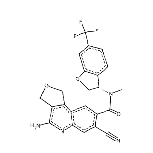 CN(C(=O)c1cc2c3c(c(N)nc2cc1C#N)COC3)[C@@H]1COc2cc(C(F)(F)F)ccc21